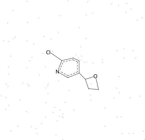 Clc1ccc(C2CCO2)cn1